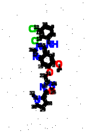 COc1cc2c(Nc3cccc(Cl)c3Cl)ncnc2cc1OCc1noc(C2CCCN2C)n1